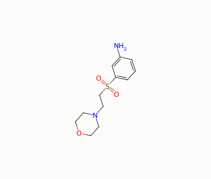 Nc1cccc(S(=O)(=O)CCN2CCOCC2)c1